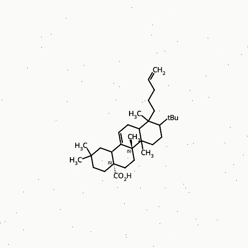 C=CCCCC1(C)C(C(C)(C)C)CCC2(C)C1CC=C1C3CC(C)(C)CC[C@]3(C(=O)O)CC[C@]12C